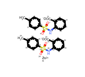 Cc1ccc(S(=O)(=O)Nc2ccccc2C(=O)[O-])cc1.Cc1ccc(S(=O)(=O)Nc2ccccc2C(=O)[O-])cc1.[Zn+2]